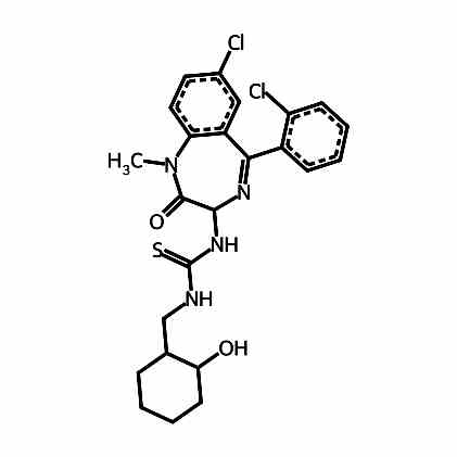 CN1C(=O)C(NC(=S)NCC2CCCCC2O)N=C(c2ccccc2Cl)c2cc(Cl)ccc21